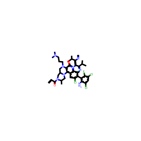 C=CC(=O)N1CC2CN(CCCN(C)C)c3c(c4cc(Cl)c(-c5c(N)c(Cl)cc(Cl)c5F)c(F)c4n(C(/C(=N\C)C(C)C)=C(/N=C)C(C)C)c3=O)N2CC1C